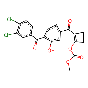 COC(=O)OC1=C(C(=O)c2ccc(C(=O)c3ccc(Cl)c(Cl)c3)c(O)c2)CC1